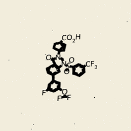 O=C1c2ccc(-c3cc(F)cc(OC(F)F)c3)cc2N(S(=O)(=O)c2cccc(C(F)(F)F)c2)CN1C12CCC(C(=O)O)(CC1)C2